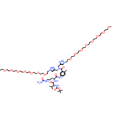 [CH2]c1ccc(NC(=O)[C@H](CCCNC(N)=O)NC(=O)[C@@H](NC(=O)OC(C)(C)C)C(C)C)cc1C(=O)N(Cc1cn(CCOCCOCCOCCOCCOCCOCCOCCOC)nn1)Cc1cn(CCOCCOCCOCCOCCOCCOCCOCCOC)nn1